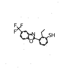 CCc1c(S)cccc1-c1nc2cc(C(F)(F)F)ccc2o1